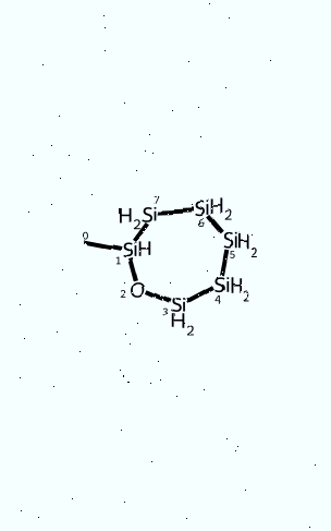 C[SiH]1O[SiH2][SiH2][SiH2][SiH2][SiH2]1